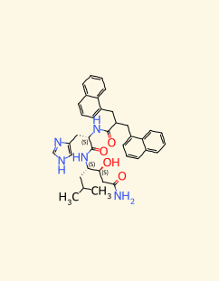 CC(C)C[C@H](NC(=O)[C@H](Cc1c[nH]cn1)NC(=O)C(Cc1cccc2ccccc12)Cc1cccc2ccccc12)[C@@H](O)CC(N)=O